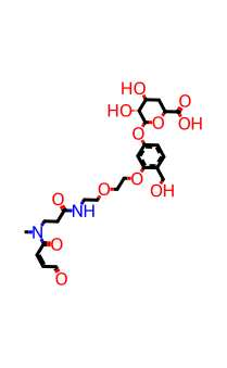 CN(CCC(=O)NCCOCCOc1cc(OC2OC(C(=O)O)CC(O)[C@H]2O)ccc1CO)C(=O)/C=C\C=O